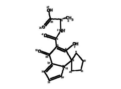 C[C@H](NC(=O)C1=C(O)C2(CCCC2)n2cccc2C1=O)C(=O)O